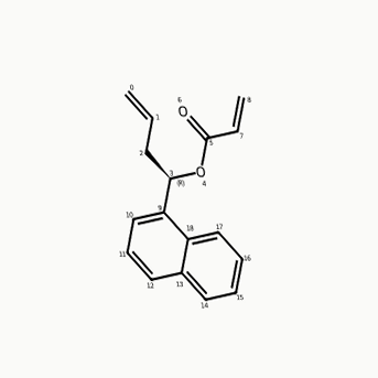 C=CC[C@@H](OC(=O)C=C)c1cccc2ccccc12